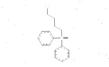 O=P(CCCCO)(c1ccccc1)c1ccccc1